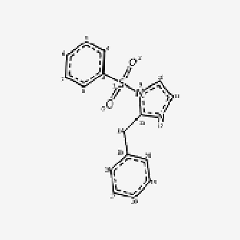 O=S(=O)(c1ccccc1)n1ccnc1Cc1ccccc1